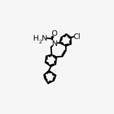 NC(=O)N1Cc2ccc(-c3ccccc3)cc2C=Cc2cc(Cl)ccc21